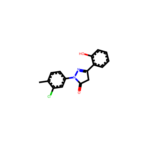 Cc1ccc(N2N=C(c3ccccc3O)CC2=O)cc1Cl